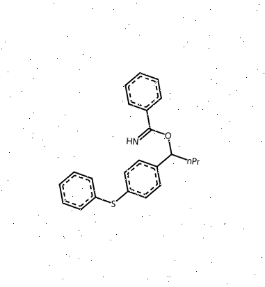 CCCC(OC(=N)c1ccccc1)c1ccc(Sc2ccccc2)cc1